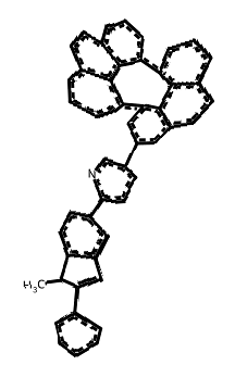 CC1C(c2ccccc2)=Cc2cc(-c3ccc(-c4cc5ccc6cccc7c8cccc9ccc%10cccc(c(c4)c5c67)c%10c98)cn3)ccc21